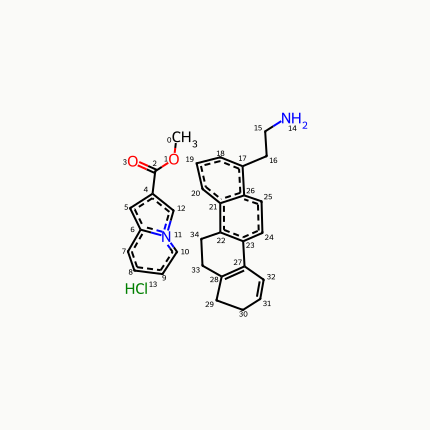 COC(=O)c1cc2ccccn2c1.Cl.NCCc1cccc2c3c(ccc12)C1=C(CCC=C1)CC3